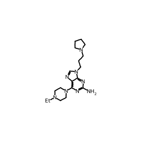 CCN1CCN(c2nc(N)nc3c2ncn3CCCN2CCCC2)CC1